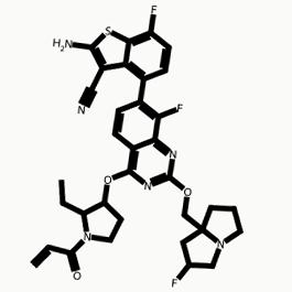 C=CC(=O)N1CCC(Oc2nc(OCC34CCCN3CC(F)C4)nc3c(F)c(-c4ccc(F)c5sc(N)c(C#N)c45)ccc23)C1CC